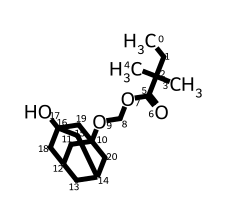 CCC(C)(C)C(=O)OCOC12CC3CC(CC(O)(C3)C1)C2